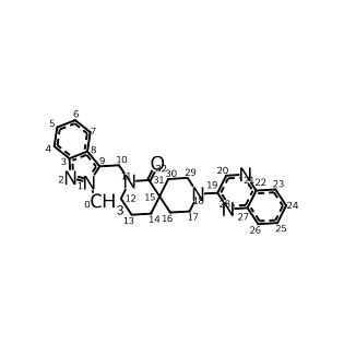 Cn1nc2ccccc2c1CN1CCCC2(CCN(c3cnc4ccccc4n3)CC2)C1=O